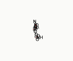 Cc1ccc(S(=O)(=O)N(C)CCCN(C)C)c(S(=O)(=O)Oc2cccc(OCCCOc3cccc4c3C(=O)NC4=O)c2)c1